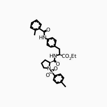 CCOC(=O)[C@H](Cc1ccc(NC(=O)c2ccccc2C)cc1)NC(=O)[C@@H]1CCCN1S(=O)(=O)c1ccc(C)cc1